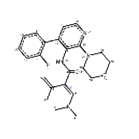 C=C(C)/C(=C\N(C)C)C(=O)Nc1c(-c2ccccc2F)ccnc1N1CCOCC1